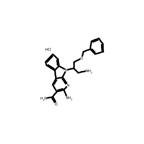 Cl.NCC(COCc1ccccc1)n1c2ccccc2c2cc(C(N)=O)c(N)nc21